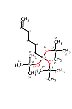 C=CCCCC[Si](O[Si](C)(C)C)(O[Si](C)(C)C)O[Si](C)(C)C